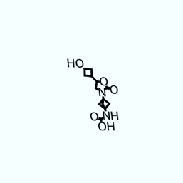 O=C(O)NC12CC(N3CC(C4CC(O)C4)OC3=O)(C1)C2